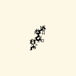 C=CC(=O)N1CCO[C@@H](c2cc(Cl)nc(-c3cc(-c4ncc[nH]4)ncn3)c2)[C@@H]1C